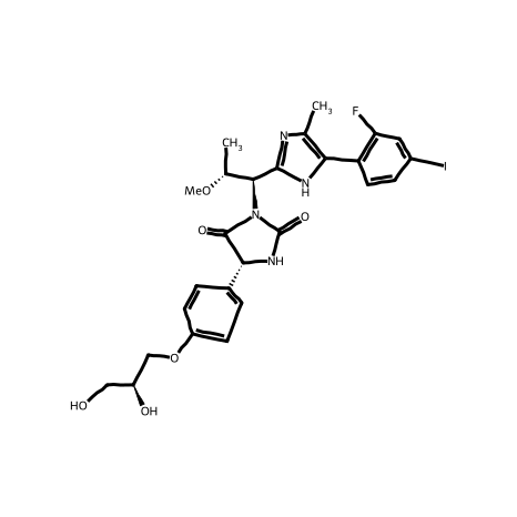 CO[C@H](C)[C@@H](c1nc(C)c(-c2ccc(I)cc2F)[nH]1)N1C(=O)N[C@H](c2ccc(OC[C@@H](O)CO)cc2)C1=O